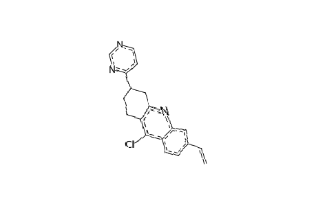 C=Cc1ccc2c(Cl)c3c(nc2c1)CC(c1ccncn1)CC3